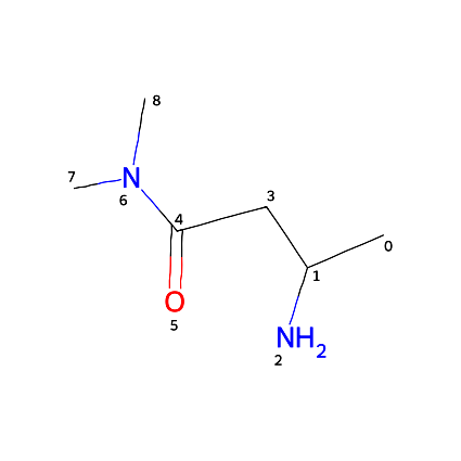 CC(N)CC(=O)N(C)C